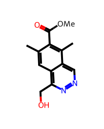 COC(=O)c1c(C)cc2c(CO)nncc2c1C